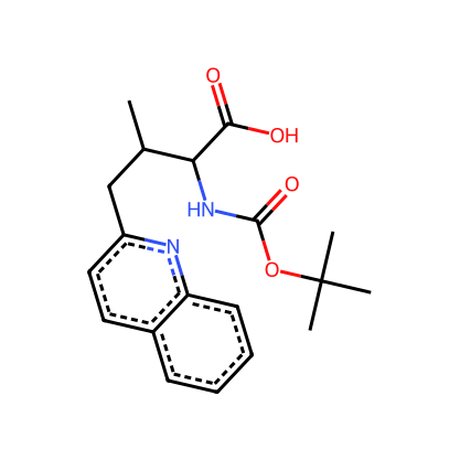 CC(Cc1ccc2ccccc2n1)C(NC(=O)OC(C)(C)C)C(=O)O